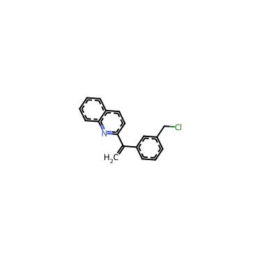 C=C(c1cccc(CCl)c1)c1ccc2ccccc2n1